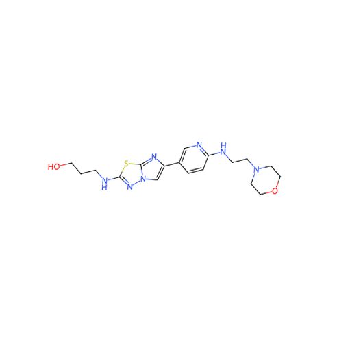 OCCCNc1nn2cc(-c3ccc(NCCN4CCOCC4)nc3)nc2s1